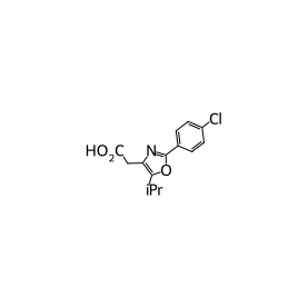 CC(C)c1oc(-c2ccc(Cl)cc2)nc1CC(=O)O